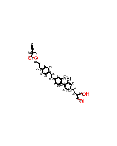 C#CC(C)(C)C(=O)OCCCc1ccc(CCc2ccc(-c3ccc(CCC(CO)CO)cc3CC)c(CC)c2)cc1